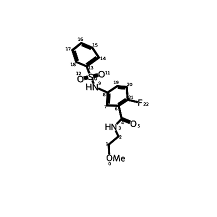 COCCNC(=O)c1cc(NS(=O)(=O)c2ccccc2)ccc1F